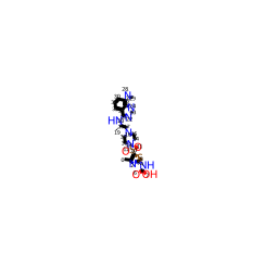 Cc1nc(NC(=O)O)sc1S(=O)(=O)N1CCN(C[C@H](C)Nc2ncnc3c(N(C)C)cccc23)CC1